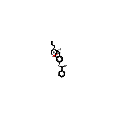 C=CCN1CC[C@]23CCCC[C@H]2[C@H]1Cc1ccc(OC(Br)c2ccccc2)cc13